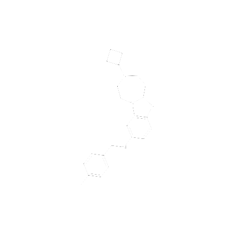 Cc1ccc(CNc2ccc3nc4n(c3c2)CCN(C2CCC2)CC4)cc1